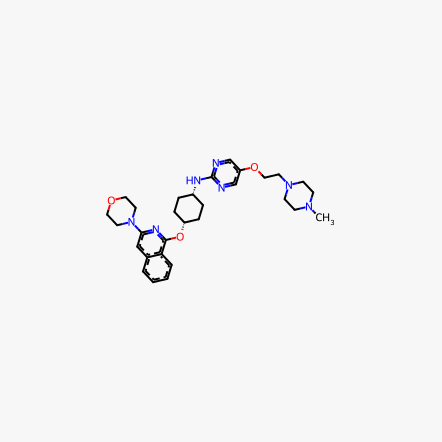 CN1CCN(CCOc2cnc(N[C@H]3CC[C@@H](Oc4nc(N5CCOCC5)cc5ccccc45)CC3)nc2)CC1